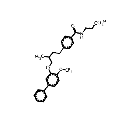 CC(CCc1ccc(C(=O)NCCC(=O)O)cc1)COc1cc(-c2ccccc2)ccc1OC(F)(F)F